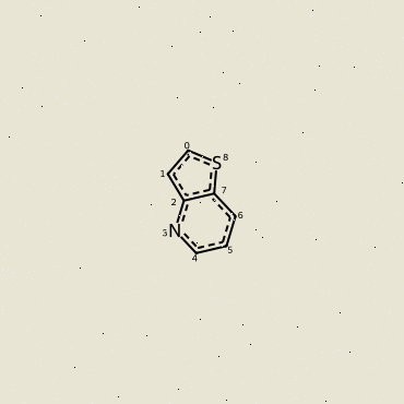 [c]1cc2ncccc2s1